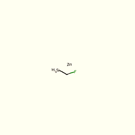 FC[SiH3].[Zn]